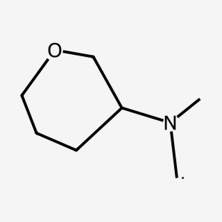 [CH2]N(C)C1CCCOC1